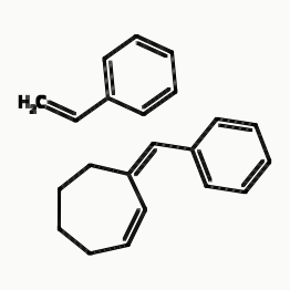 C1=CC(=Cc2ccccc2)CCCC1.C=Cc1ccccc1